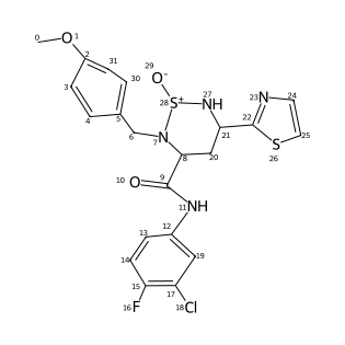 COc1ccc(CN2C(C(=O)Nc3ccc(F)c(Cl)c3)CC(c3nccs3)N[S+]2[O-])cc1